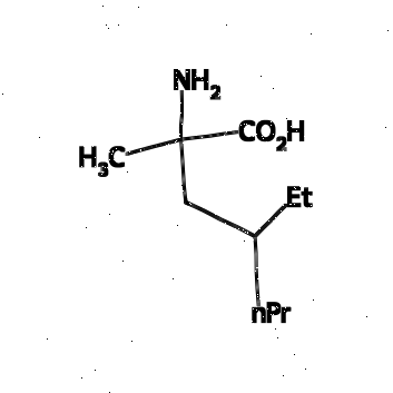 CCCC(CC)CC(C)(N)C(=O)O